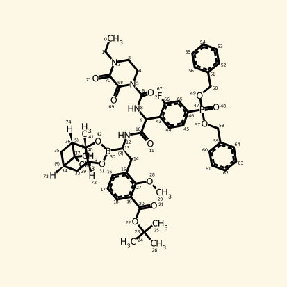 CCN1CCN(C(=O)NC(C(=O)N[C@@H](Cc2cccc(C(=O)OC(C)(C)C)c2OC)B2O[C@@H]3C[C@@H]4C[C@@H](C4(C)C)[C@]3(C)O2)c2ccc(P(=O)(OCc3ccccc3)OCc3ccccc3)cc2F)C(=O)C1=O